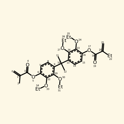 C=C(C)C(=O)Oc1ccc(C(C)(C)c2ccc(OC(=O)C(=C)CC)c(OCC)c2OCC)c(OCC)c1OCC